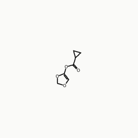 O=C(OC1=COCO1)C1CC1